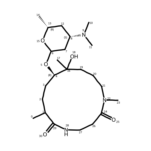 CC1CC[C@@H](OC2C[C@@H](N(C)C)C[C@@H](C)O2)C(C)(O)CCCN(C)C(=O)CCNC1=O